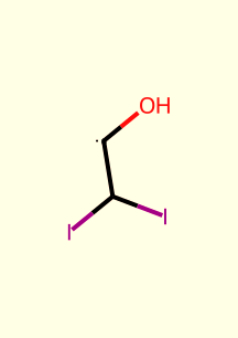 O[CH]C(I)I